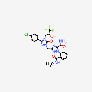 CNC(=O)c1ccccc1-n1nc(Cn2nc(-c3ccc(Cl)cc3)n(CC(O)C(F)(F)F)c2=O)nc1C(N)=O